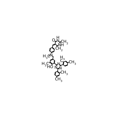 C=C1NC(=C)/C(=C\c2ccc(N(C)Cc3cc(C)c(O)c(-c4nc(-c5ccc(C)cc5C)nc(-c5ccc(C)cc5C)n4)c3)cc2)C(=O)N1